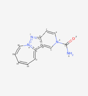 NC(=O)N1C=Cc2nn3c(c2=C1)=CC=CC=C3